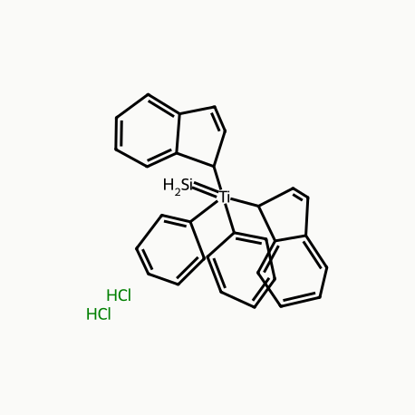 Cl.Cl.[SiH2]=[Ti]([c]1ccccc1)([c]1ccccc1)([CH]1C=Cc2ccccc21)[CH]1C=Cc2ccccc21